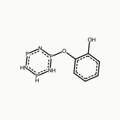 Oc1ccccc1Op1np[nH][pH][nH]1